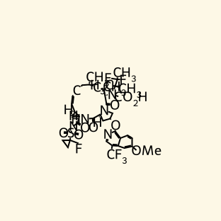 COc1ccc2c(O[C@@H]3C[C@H]4C(=O)N[C@]5(C(=O)NS(=O)(=O)C6(CF)CC6)C[C@H]5C=CCC[C@@H](C)C[C@@H](C)[C@H](N(C(=O)O)C(C)(C)C(C)(F)F)C(=O)N4C3)ncc(C(F)(F)F)c2c1